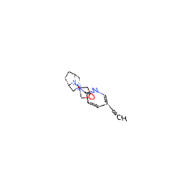 C#Cc1ccc(N2CC3CCC(C2)N3C2COC2)nc1